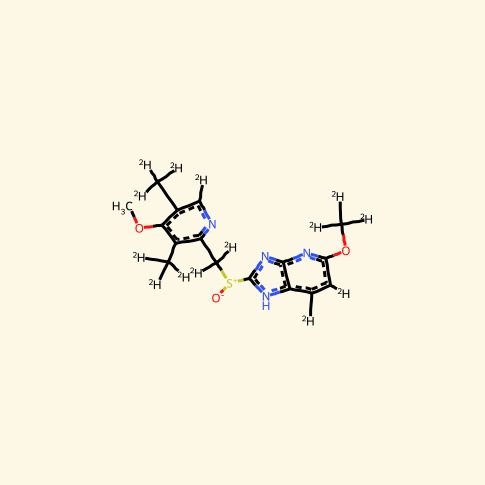 [2H]c1nc(C([2H])([2H])[S+]([O-])c2nc3nc(OC([2H])([2H])[2H])c([2H])c([2H])c3[nH]2)c(C([2H])([2H])[2H])c(OC)c1C([2H])([2H])[2H]